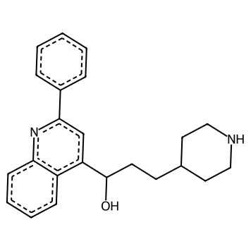 OC(CCC1CCNCC1)c1cc(-c2ccccc2)nc2ccccc12